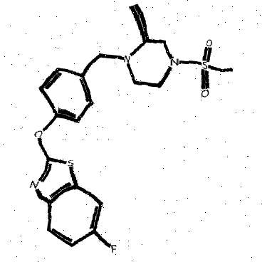 C=C1CN(S(C)(=O)=O)CCN1Cc1ccc(Oc2nc3ccc(F)cc3s2)cc1